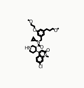 COCCCc1cc(CN(C(=O)[C@H]2CNCC[C@@H]2c2cc(=O)n(C)c3cc(Cl)ccc23)C2CC2)cc(OCCOC)c1